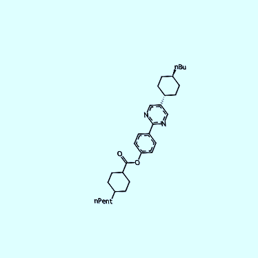 CCCCCC1CCC(C(=O)Oc2ccc(-c3ncc([C@H]4CC[C@H](CCCC)CC4)cn3)cc2)CC1